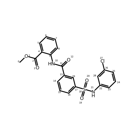 COC(=O)c1ccccc1NC(=O)c1cccc(S(=O)(=O)Nc2cccc(Cl)c2)c1